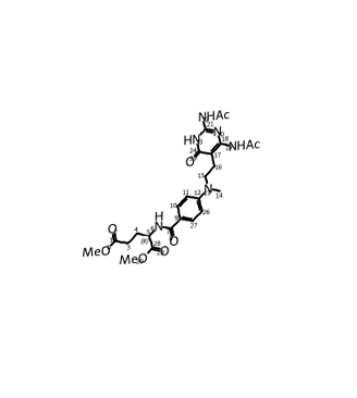 COC(=O)CC[C@@H](NC(=O)c1ccc(N(C)CCc2c(NC(C)=O)nc(NC(C)=O)[nH]c2=O)cc1)C(=O)OC